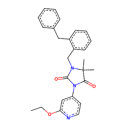 CCOc1cc(N2C(=O)N(Cc3ccccc3Cc3ccccc3)C(C)(C)C2=O)ccn1